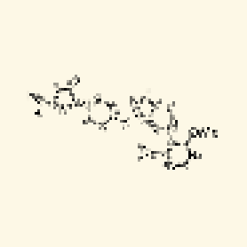 COc1ncnc(C2CC2)c1-c1ncc2cnn(Cc3ccc(-n4nc(C(F)F)cc4C)cc3)c2n1